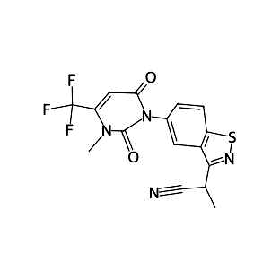 CC(C#N)c1nsc2ccc(-n3c(=O)cc(C(F)(F)F)n(C)c3=O)cc12